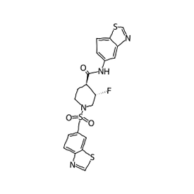 O=C(Nc1ccc2scnc2c1)[C@@H]1CCN(S(=O)(=O)c2ccc3ncsc3c2)C[C@H]1F